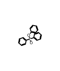 O=P(Oc1ccccc1)(c1ccccc1)c1ccccc1